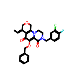 C/C=C1\COCc2c1c(=O)c(OCc1ccccc1)c1n2CCN(Cc2ccc(F)c(Cl)c2)C1=O